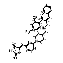 O=C1NC(=O)/C(=C/c2ccnc(N3CCC(CNCc4cc5ccccc5nc4-c4ccc(C(F)(F)F)cc4C(F)(F)F)CC3)n2)S1